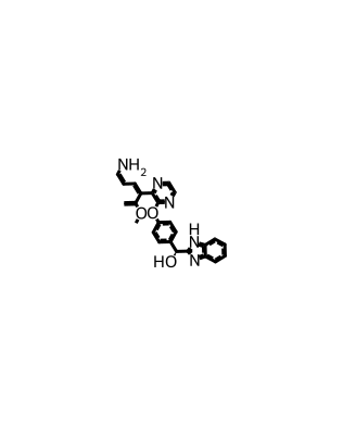 C=C(OC)/C(=C\C=C/N)c1nccnc1Oc1ccc([C@@H](O)c2nc3ccccc3[nH]2)cc1